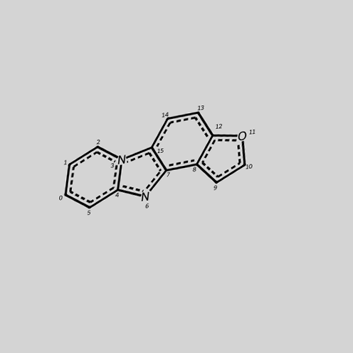 c1ccn2c(c1)nc1c3ccoc3ccc12